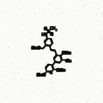 COCc1cc(NS(C)(=O)=O)ccc1C=Cc1cc(-c2ccc(OC)nc2OC)cc(C(C)(C)C)c1OC